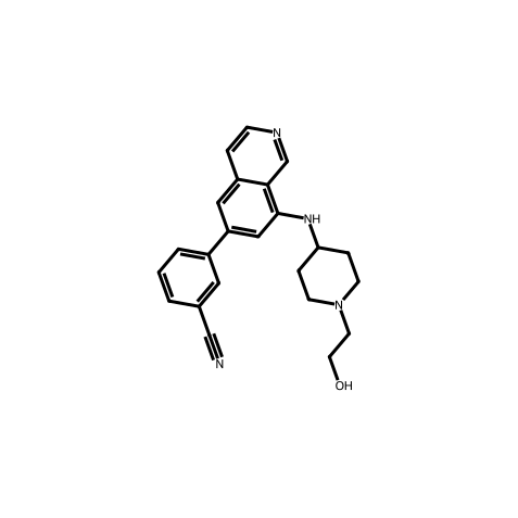 N#Cc1cccc(-c2cc(NC3CCN(CCO)CC3)c3cnccc3c2)c1